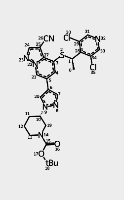 C[C@@H](Sc1cc(-c2cnn([C@H]3CCCN(C(=O)OC(C)(C)C)C3)c2)cn2ncc(C#N)c12)c1c(Cl)cncc1Cl